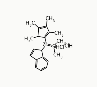 CC1=C(C)C(C)[C]([Zr]([CH]2C=Cc3ccccc32)=[Si](C)C)=C1C.Cl.Cl